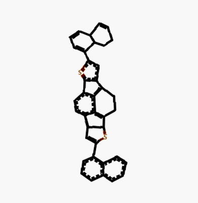 C1=CC2C=CCCC2C(c2cc3c(s2)-c2ccc4c5c2=C3CCC=5C2SC(c3cccc5ccccc35)=CC42)=C1